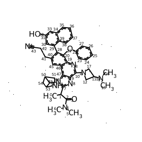 CC(C(=O)N(C)C)c1nc2c(N3CC(N(C)C)C3)nc3c(Oc4ccccc4)c(-c4cc(O)cc5ccccc45)c(CCC#N)cc3c2n1C1C2CNC1C2